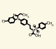 CCc1nc2cc(Cl)ccc2n1-c1ccc(CCN(C(=O)O)S(=O)(=O)c2ccc(C)cc2)cc1